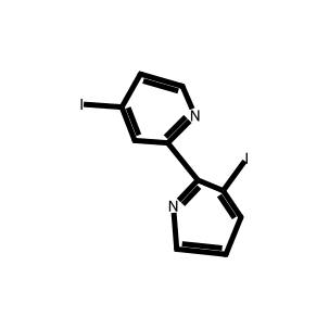 Ic1ccnc(-c2ncccc2I)c1